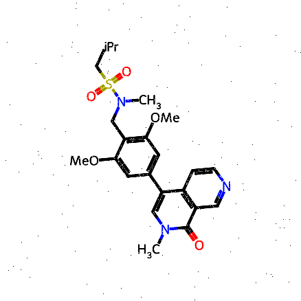 COc1cc(-c2cn(C)c(=O)c3cnccc23)cc(OC)c1CN(C)S(=O)(=O)CC(C)C